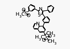 CC(C)(c1cc(-c2cccc(-c3sc(-c4cccc(S(C)(=O)=O)c4)nc3-c3ccccc3)c2)c2ncccc2c1)S(C)(=O)=O